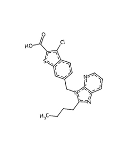 CCCCc1nc2cccnc2n1Cc1ccc2c(Cl)c(C(=O)O)sc2c1